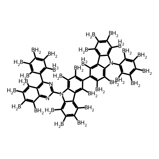 Bc1c(B)c(B)c(-c2nc(-n3c4c(B)c(B)c(B)c(B)c4c4c(B)c(-c5c(B)c(B)c6c(c5B)c5c(B)c(B)c(B)c(B)c5n6-c5c(B)c(B)c(B)c(B)c5B)c(B)c(B)c43)nc3c(B)c(B)c(B)c(B)c23)c(B)c1B